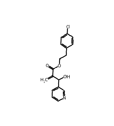 C=C(C(=O)OCCc1ccc(Cl)cc1)C(O)c1cccnc1